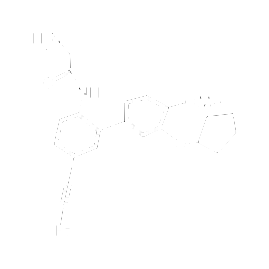 CCC#Cc1ccc(NC(=O)CN)c(-c2ccc(OC)c(OC3CCCC3)c2)c1